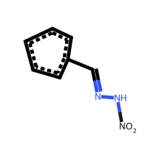 O=[N+]([O-])NN=Cc1ccccc1